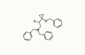 FC(CN(Cc1ccccc1)Cc1ccccc1)C1(OCc2ccccc2)CC1